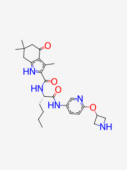 CCCC[C@H](NC(=O)c1[nH]c2c(c1C)C(=O)CC(C)(C)C2)C(=O)Nc1ccc(OC2CNC2)nc1